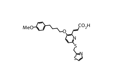 COc1ccc(CCCCOc2ccc(SCc3nccs3)nc2C=CC(=O)O)cc1